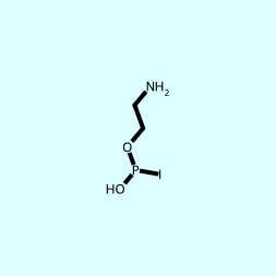 NCCOP(O)I